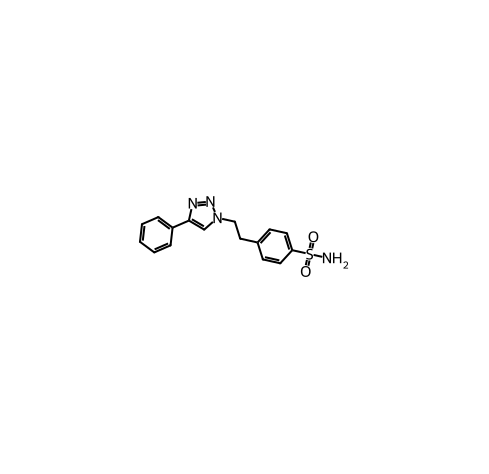 NS(=O)(=O)c1ccc(CCn2cc(-c3ccccc3)nn2)cc1